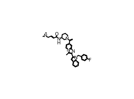 C=C(c1ccn2c(C)c(-c3cc4ccccc4n3Cc3ccc(F)cc3)nc2c1)N1CCCC(NC(=O)/C=C/CN(C)C)C1